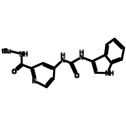 CC(C)(C)NC(=O)c1cc(NC(=O)Nc2c[nH]c3ccccc23)ccn1